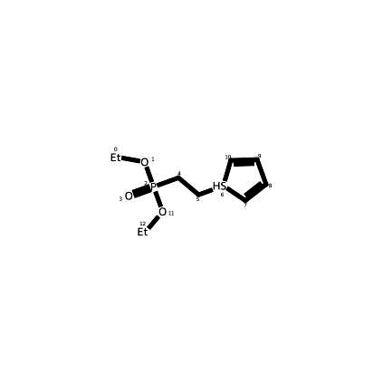 CCOP(=O)(CC[SH]1C=CC=C1)OCC